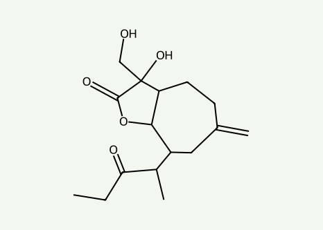 C=C1CCC2C(OC(=O)C2(O)CO)C(C(C)C(=O)CC)C1